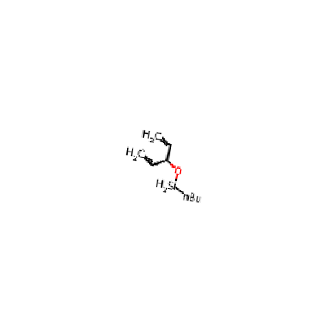 C=CC(C=C)O[SiH2]CCCC